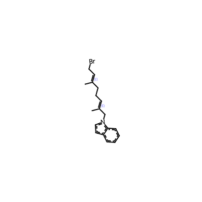 C/C(=C\CBr)CC/C=C(\C)Cn1ccc2ccccc21